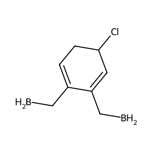 BCC1=CCC(Cl)C=C1CB